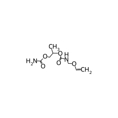 C=COCNC(=O)OC(C)COC(N)=O